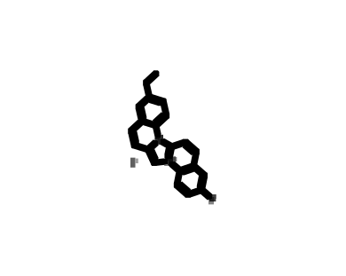 CCc1ccc2c(ccc3c[n+]4c5ccc(F)cc5ccc4n32)c1.[I-]